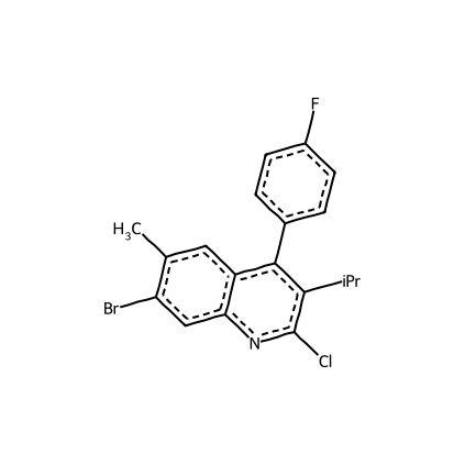 Cc1cc2c(-c3ccc(F)cc3)c(C(C)C)c(Cl)nc2cc1Br